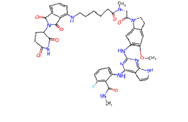 CNC(=O)c1c(F)cccc1Nc1nc(Nc2cc3c(cc2OC)CCN3C(=O)CN(C)C(=O)CCCCCNc2cccc3c2C(=O)N(C2CCC(=O)NC2=O)C3=O)nc2[nH]ccc12